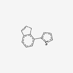 C1=Cc2cccc(-c3cccs3)c2C1